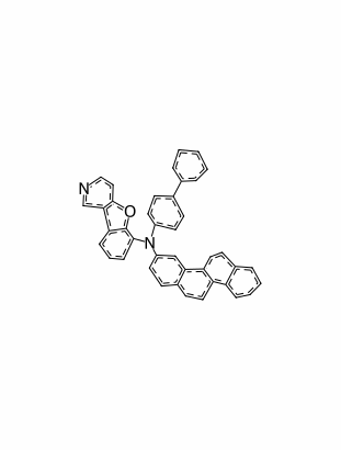 c1ccc(-c2ccc(N(c3ccc4ccc5c6ccccc6ccc5c4c3)c3cccc4c3oc3ccncc34)cc2)cc1